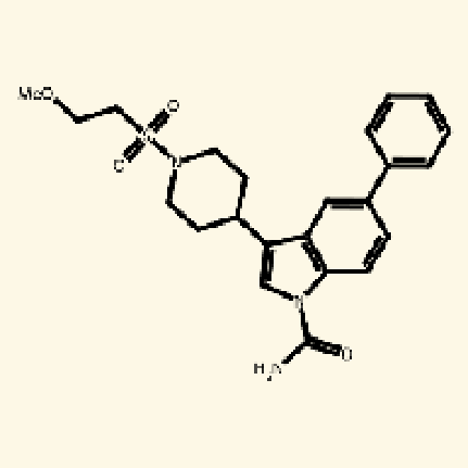 COCCS(=O)(=O)N1CCC(c2cn(C(N)=O)c3ccc(-c4ccccc4)cc23)CC1